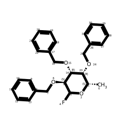 C[C@@H]1OC(F)[C@@H](OCc2ccccc2)[C@H](OCc2ccccc2)[C@@H]1OCc1ccccc1